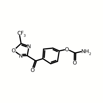 NC(=O)Oc1ccc(C(=O)c2noc(C(F)(F)F)n2)cc1